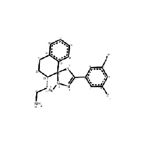 CC(=O)N1N=C(c2cc(F)cc(F)c2)S[C@@]12c1ccccc1CC[C@H]2CCN